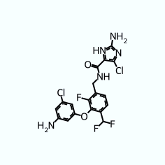 Nc1cc(Cl)cc(Oc2c(C(F)F)ccc(CNC(=O)c3[nH]c(N)nc3Cl)c2F)c1